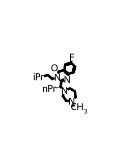 CCC[C@H](c1nc2ccc(F)cc2c(=O)n1CCC(C)C)N1CCCN(C)CC1